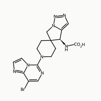 O=C(O)N[C@@H]1c2cnnn2CC12CCN(c1ncc(Br)c3nccn13)CC2